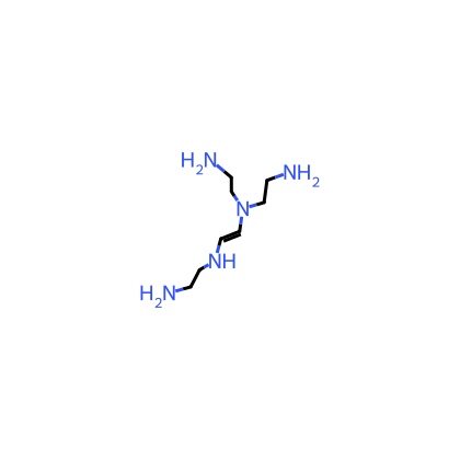 NCCNC=CN(CCN)CCN